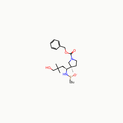 CC(C)(CO)C[C@H](N[S@@+]([O-])C(C)(C)C)[C@]1(C)CCN(C(=O)OCc2ccccc2)C1